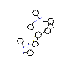 C=C(/N=C(\N=C(/C)c1cccc2c1sc1ccc(-c3ccc4c(c3)-c3c(cccc3C(=C)/N=C(\N=C(/C)c3ccccc3)c3ccccc3)C4)cc12)C1=CC=CCC1)c1ccccc1